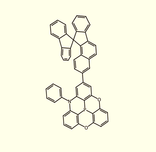 c1ccc(N2c3cccc4c3P3c5c(cccc5Oc5cc(-c6ccc7c8c(ccc7c6)-c6ccccc6C86c7ccccc7-c7ccccc76)cc2c53)O4)cc1